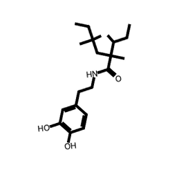 CCC(C)C(C)(CC(C)(C)CC)C(=O)NCCc1ccc(O)c(O)c1